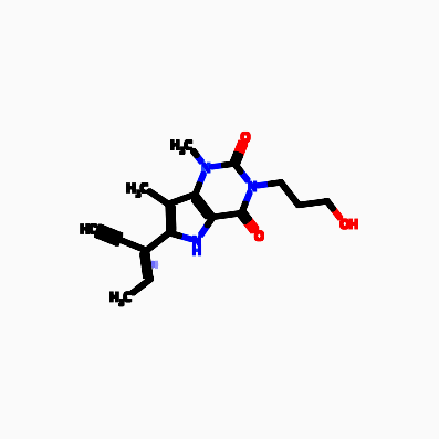 C#C/C(=C\C)c1[nH]c2c(=O)n(CCCO)c(=O)n(C)c2c1C